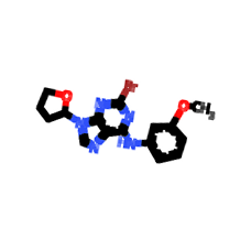 COc1cccc(Nc2nc(Br)nc3c2ncn3C2CCCO2)c1